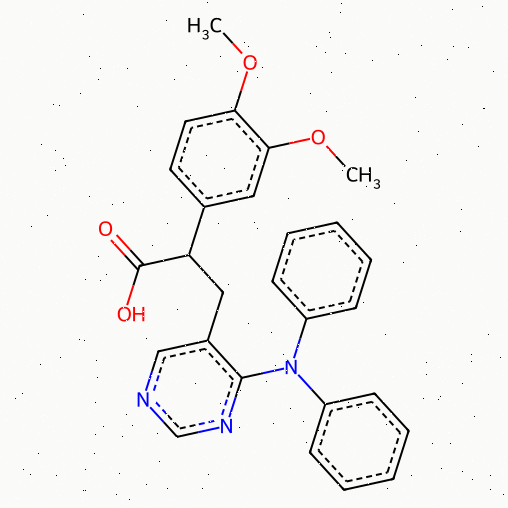 COc1ccc(C(Cc2cncnc2N(c2ccccc2)c2ccccc2)C(=O)O)cc1OC